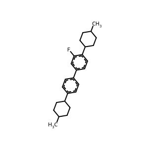 CC1CCC(c2ccc(-c3ccc(C4CCC(C)CC4)c(F)c3)cc2)CC1